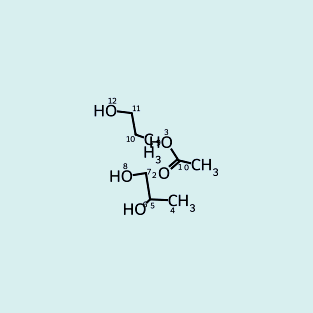 CC(=O)O.CC(O)CO.CCCO